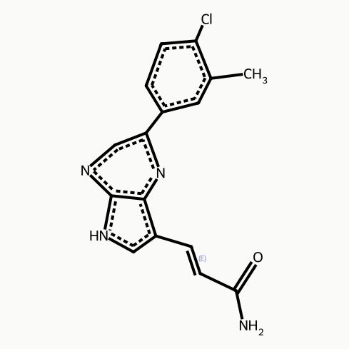 Cc1cc(-c2cnc3[nH]cc(/C=C/C(N)=O)c3n2)ccc1Cl